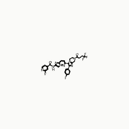 O=C(Nc1cn2nc(-c3c(-c4ccc(F)cc4)nc4n3CCN(C(=O)CCC(F)(F)F)C4)ccc2n1)c1ccnc(F)c1